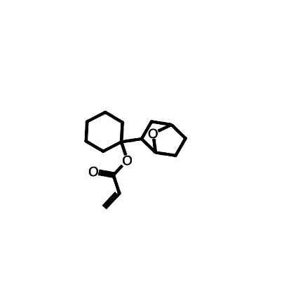 C=CC(=O)OC1(C2CC3CCC2O3)CCCCC1